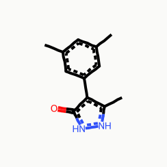 Cc1cc(C)cc(-c2c(C)[nH][nH]c2=O)c1